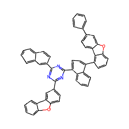 c1ccc(-c2ccc3c(c2)oc2cccc(-c4ccc(-c5nc(-c6ccc7ccccc7c6)nc(-c6ccc7oc8ccccc8c7c6)n5)c5ccccc45)c23)cc1